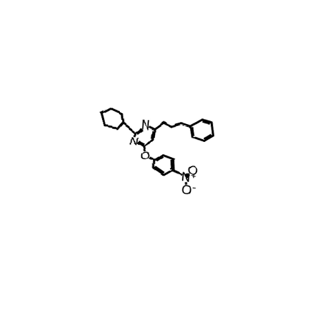 O=[N+]([O-])c1ccc(Oc2cc(CCCc3ccccc3)nc(C3CCCCC3)n2)cc1